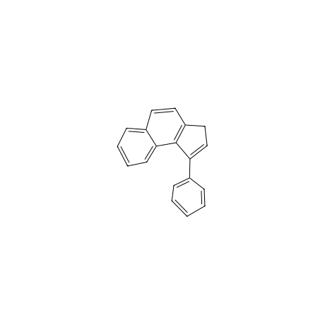 C1=C(c2ccccc2)c2c(ccc3ccccc23)C1